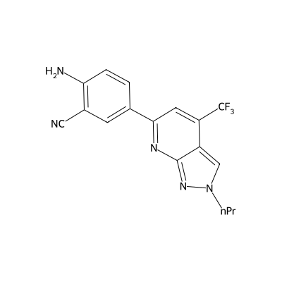 CCCn1cc2c(C(F)(F)F)cc(-c3ccc(N)c(C#N)c3)nc2n1